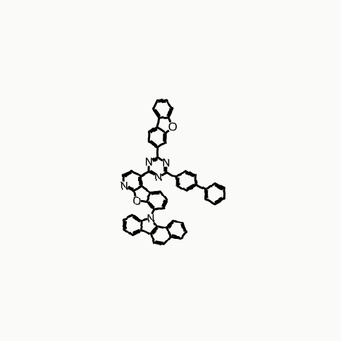 c1ccc(-c2ccc(-c3nc(-c4ccc5c(c4)oc4ccccc45)nc(-c4ccnc5oc6c(-n7c8ccccc8c8ccc9ccccc9c87)cccc6c45)n3)cc2)cc1